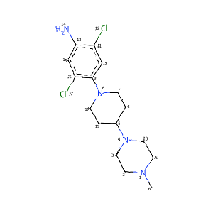 CN1CCN(C2CCN(c3cc(Cl)c(N)cc3Cl)CC2)CC1